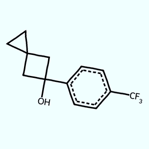 OC1(c2ccc(C(F)(F)F)cc2)CC2(CC2)C1